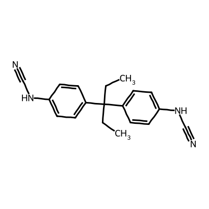 CCC(CC)(c1ccc(NC#N)cc1)c1ccc(NC#N)cc1